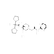 O=C(C[N+]12CCC(CC1)[C@@H](OC(=O)C(O)(C1CCCC1)C1CCCC1)C2)Nc1ncccn1.[Br-]